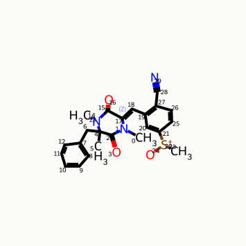 CN1C(=O)C(C)(Cc2ccccc2)N(C)C(=O)/C1=C/c1cc([S+](C)[O-])ccc1C#N